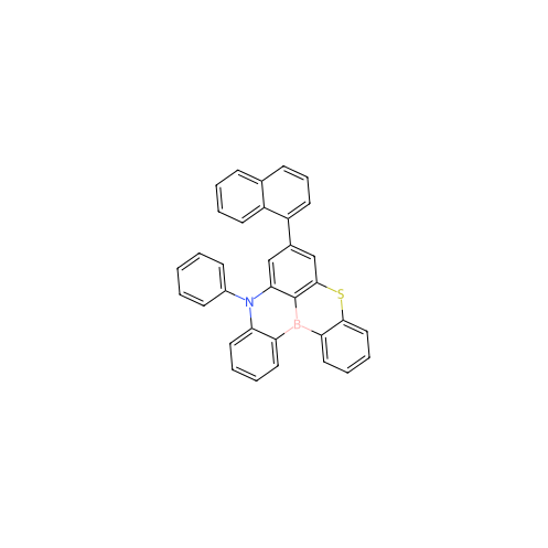 c1ccc(N2c3ccccc3B3c4ccccc4Sc4cc(-c5cccc6ccccc56)cc2c43)cc1